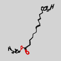 C=COC(=O)CCCCCCCCCCCC(=O)O